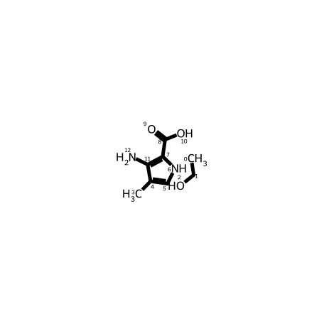 CCO.Cc1c[nH]c(C(=O)O)c1N